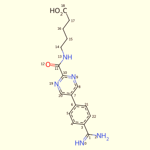 N=C(N)c1ccc(-c2cnc(C(=O)NCCCCC(=O)O)nc2)cc1